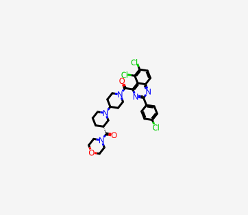 O=C(c1nc(-c2ccc(Cl)cc2)nc2ccc(Cl)c(Cl)c12)N1CCC(N2CCC[C@@H](C(=O)N3CCOCC3)C2)CC1